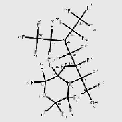 OC(F)(F)C(F)(N1C(F)(F)C(F)(F)OC(F)(F)C1(F)F)C(F)(F)C(F)(F)N(C(F)(F)C(F)(F)F)C(F)(F)C(F)(F)F